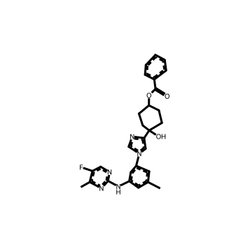 Cc1cc(Nc2ncc(F)c(C)n2)cc(-n2cnc(C3(O)CCC(OC(=O)c4ccccc4)CC3)c2)c1